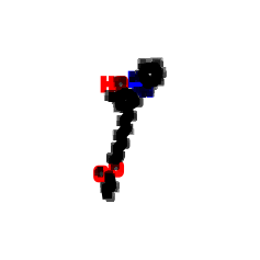 CC=CC(=O)OCCCCCCCCc1cc(C)c(O)c(-n2nc3ccccc3n2)c1